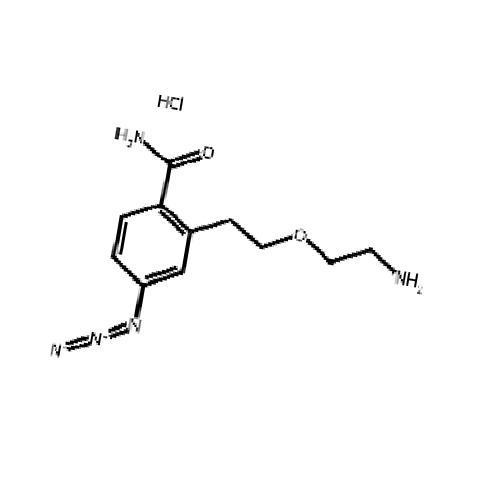 Cl.[N-]=[N+]=Nc1ccc(C(N)=O)c(CCOCCN)c1